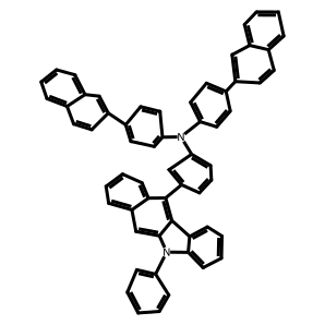 c1ccc(-n2c3ccccc3c3c(-c4cccc(N(c5ccc(-c6ccc7ccccc7c6)cc5)c5ccc(-c6ccc7ccccc7c6)cc5)c4)c4ccccc4cc32)cc1